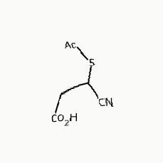 CC(=O)SC(C#N)CC(=O)O